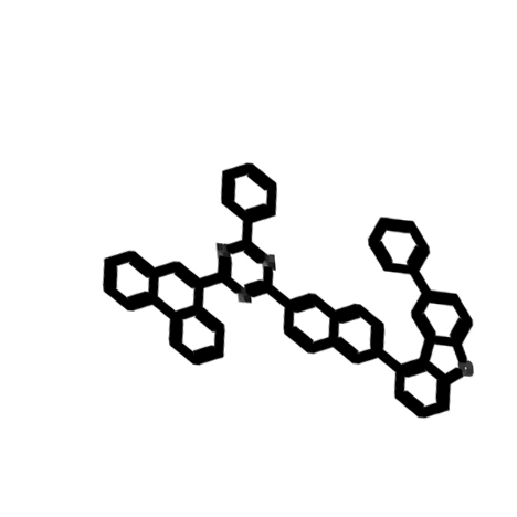 c1ccc(-c2ccc3oc4cccc(-c5ccc6cc(-c7nc(-c8ccccc8)nc(-c8cc9ccccc9c9ccccc89)n7)ccc6c5)c4c3c2)cc1